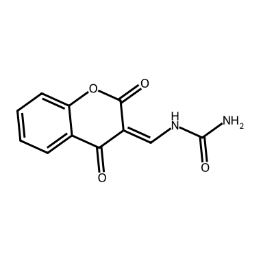 NC(=O)N/C=C1\C(=O)Oc2ccccc2C1=O